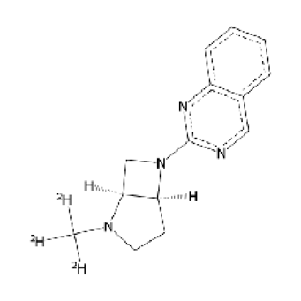 [2H]C([2H])([2H])N1CC[C@H]2[C@@H]1CN2c1ncc2ccccc2n1